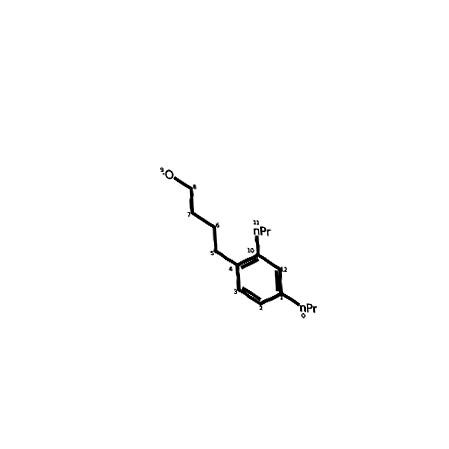 CCCc1ccc(CCCC[O])c(CCC)c1